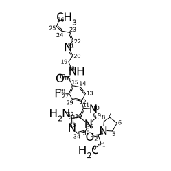 C=CC(=O)N1CCC[C@H]1c1nc(-c2ccc(C(=O)NC/C=N/C=C\C=C/C)c(F)c2)c2c(N)nccn12